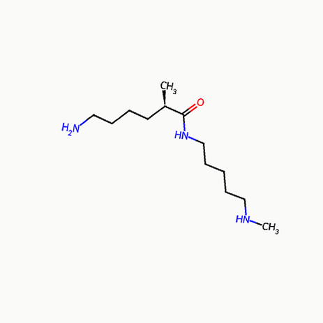 CNCCCCCNC(=O)[C@H](C)CCCCN